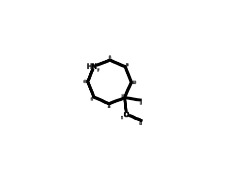 COC1(C)CCCNCCC1